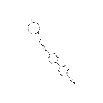 N#Cc1ccc(-c2ccc(C#CCCN3CCCNCC3)cc2)cc1